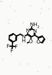 COc1c(NCc2cccc(C(F)(F)F)c2)nc(N)nc1-c1ccco1